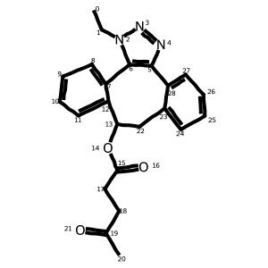 CCn1nnc2c1-c1ccccc1C(OC(=O)CCC(C)=O)Cc1ccccc1-2